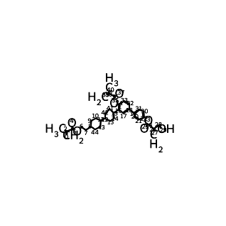 C=C(C)C(=O)OCCC1CCC(C2CCC(c3cc(-c4ccc(OC(=O)C(=C)CO)cc4)ccc3OC(=O)C(=C)C)CC2)CC1